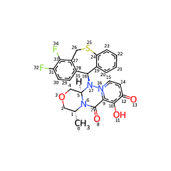 C[C@@H]1COC[C@@H]2N1C(=O)c1c(O)c(=O)ccn1N2[C@@H]1c2ccccc2SCc2c1ccc(F)c2F